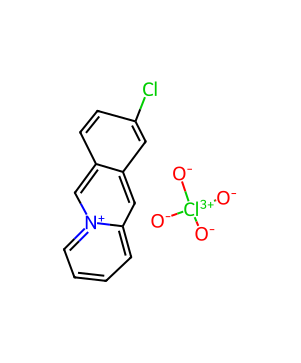 Clc1ccc2c[n+]3ccccc3cc2c1.[O-][Cl+3]([O-])([O-])[O-]